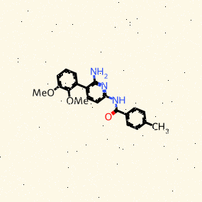 COc1cccc(-c2ccc(NC(=O)c3ccc(C)cc3)nc2N)c1OC